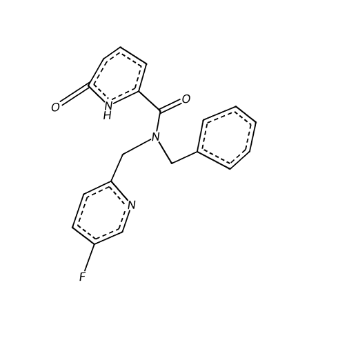 O=C(c1cccc(=O)[nH]1)N(Cc1ccccc1)Cc1ccc(F)cn1